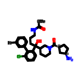 CCc1cccc(-c2c(Cl)cccc2C(O)(CCCNC(=O)OC)C2CCCN(C(=O)[C@@H]3CC[C@H](N)C3)C2)c1